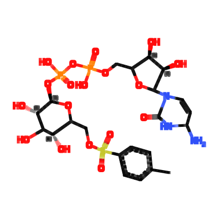 Cc1ccc(S(=O)(=O)OCC2O[C@H](OP(=O)(O)OP(=O)(O)OCC3OC(N4C=CC(N)NC4=O)[C@H](O)[C@@H]3O)[C@@H](O)C(O)[C@H]2O)cc1